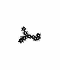 c1ccc(-c2ccc(N(c3ccc(-c4ccc5c(ccc6ccc7ccccc7c65)c4)cc3)c3ccc4c(c3)oc3ccccc34)cc2)cc1